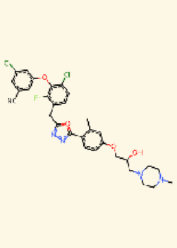 Cc1cc(OC[C@@H](O)CN2CCN(C)CC2)ccc1-c1nnc(Cc2ccc(Cl)c(Oc3cc(Cl)cc(C#N)c3)c2F)o1